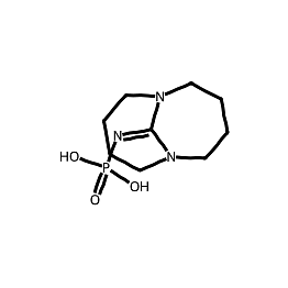 O=P(O)(O)N=C1N2CCCCN1CCCC2